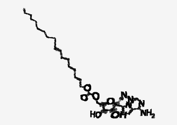 CCCCCCCCCCCCCCCCCCOC(=O)OC[C@H]1O[C@@](C#N)(c2ccc3c(N)ncnn23)[C@H](O)[C@@H]1O